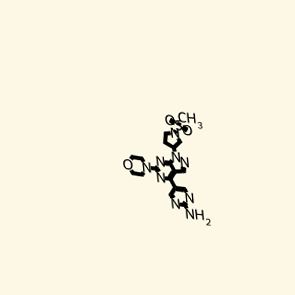 CS(=O)(=O)N1CCC(n2ncc3c(-c4cnc(N)nc4)nc(N4CCOCC4)nc32)C1